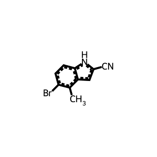 Cc1c(Br)ccc2[nH]c(C#N)cc12